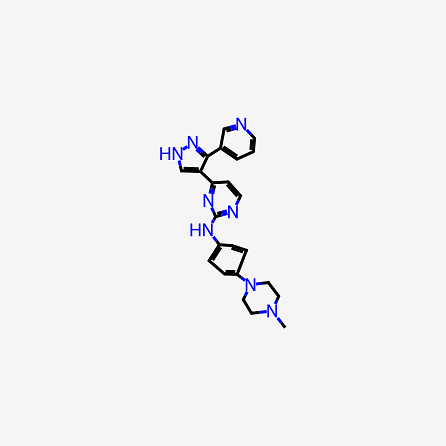 CN1CCN(c2ccc(Nc3nccc(-c4c[nH]nc4-c4cccnc4)n3)cc2)CC1